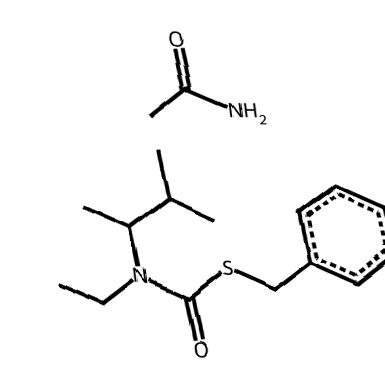 CC(N)=O.CCN(C(=O)SCc1ccccc1)C(C)C(C)C